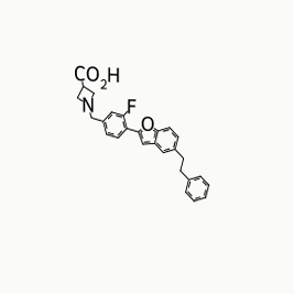 O=C(O)C1CN(Cc2ccc(-c3cc4cc(CCc5ccccc5)ccc4o3)c(F)c2)C1